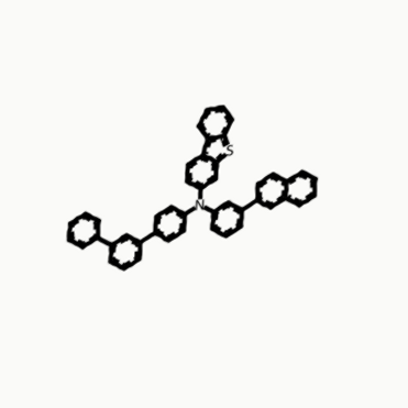 c1ccc(-c2cccc(-c3ccc(N(c4cccc(-c5ccc6ccccc6c5)c4)c4ccc5c(c4)sc4ccccc45)cc3)c2)cc1